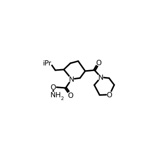 CC(C)CC1CCC(C(=O)N2CCOCC2)CN1C(=O)ON